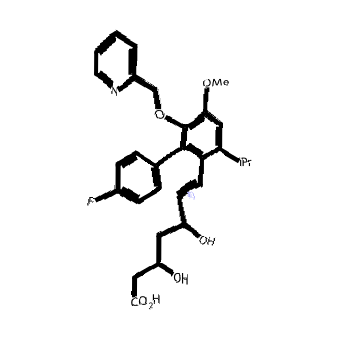 COc1cc(C(C)C)c(/C=C/C(O)CC(O)CC(=O)O)c(-c2ccc(F)cc2)c1OCc1ccccn1